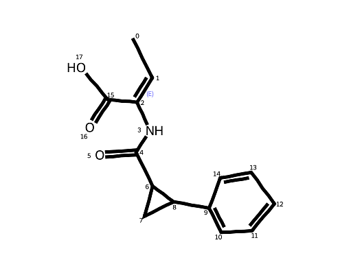 C/C=C(/NC(=O)C1CC1c1ccccc1)C(=O)O